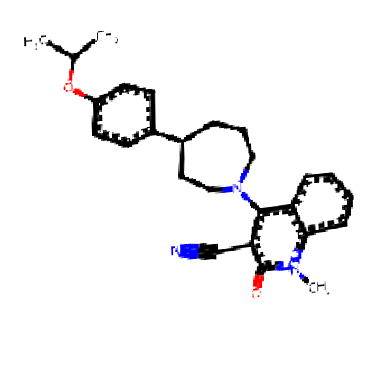 CC(C)Oc1ccc(C2CCCN(c3c(C#N)c(=O)n(C)c4ccccc34)CC2)cc1